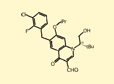 CC(C)Oc1cc2c(cc1Cc1cccc(Cl)c1F)c(=O)c(C=O)cn2[C@H](CO)C(C)(C)C